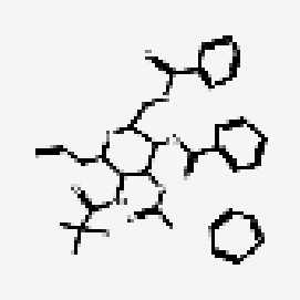 C=CCC1OC(COC(=O)c2ccccc2)C(OC(=O)c2ccccc2)C(OC(C)=O)C1NC(=O)C(C)(C)C.c1ccccc1